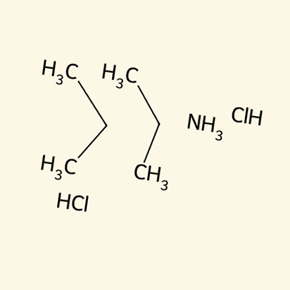 CCC.CCC.Cl.Cl.N